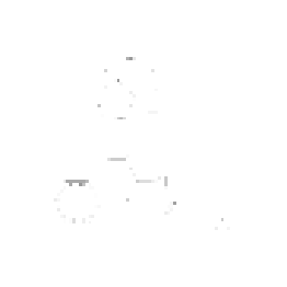 CC(C)(C)OC(=O)N[C@@H](Cc1ccccc1)C(=O)O[C@@H]1CO[C@@H]2[CH]CO[C@H]21